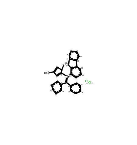 CCCC1C=C(C(C)(C)C)C=[C]1[Zr+2](=[C](c1ccccc1)c1ccccc1)[c]1cccc2c1Cc1ccccc1-2.[Cl-].[Cl-]